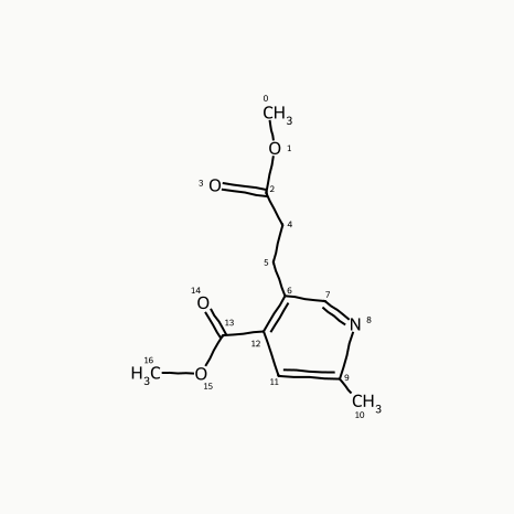 COC(=O)CCc1cnc(C)cc1C(=O)OC